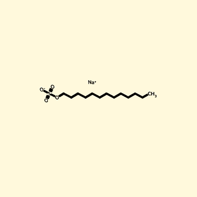 CCCCCCCCCCCCCOS(=O)(=O)[O-].[Na+]